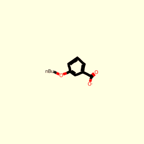 CCCCOc1cccc(C([O])=O)c1